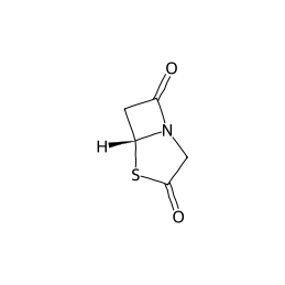 O=C1CN2C(=O)C[C@H]2S1